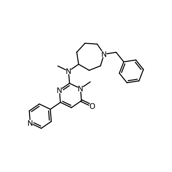 CN(c1nc(-c2ccncc2)cc(=O)n1C)C1CCCN(Cc2ccccc2)CC1